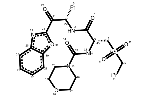 CC[C@H](NC(=O)[C@H](CS(=O)(=O)CC(C)C)NC(=O)N1CCOCC1)C(=O)c1nc2ccccc2o1